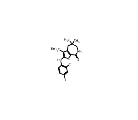 CCOC(=O)c1c(Nc2ccc(I)cc2Cl)sc2c1CC(C)(C)CNC2=S